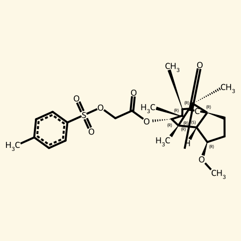 CO[C@@H]1CC[C@@]23CC[C@@H](C)[C@@](C)([C@H](OC(=O)COS(=O)(=O)c4ccc(C)cc4)C[C@@H](C)C(=O)[C@@H]2C)[C@@H]13